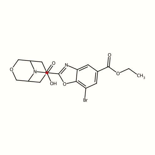 CCOC(=O)c1cc(Br)c2oc(N3CC4COCC(C3)N4C(=O)O)nc2c1